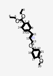 CCOC(OCC)c1ccc(/C=C/COc2ccc(OC)cc2)cc1